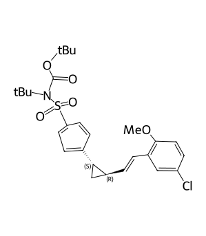 COc1ccc(Cl)cc1C=C[C@H]1C[C@@H]1c1ccc(S(=O)(=O)N(C(=O)OC(C)(C)C)C(C)(C)C)cc1